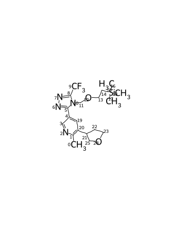 Cc1ncc(-c2nnc(C(F)(F)F)n2COCC[Si](C)(C)C)cc1C1CCOC1